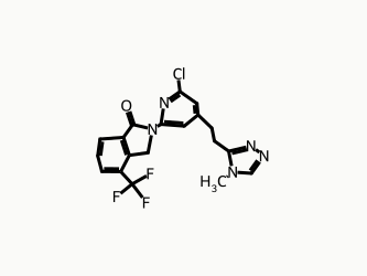 Cn1cnnc1CCc1cc(Cl)nc(N2Cc3c(cccc3C(F)(F)F)C2=O)c1